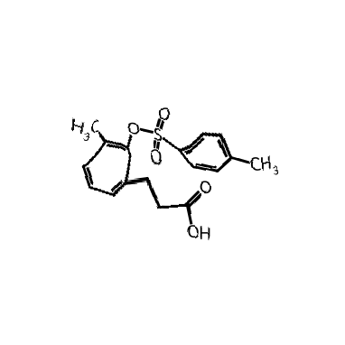 Cc1ccc(S(=O)(=O)Oc2c(C)cccc2CCC(=O)O)cc1